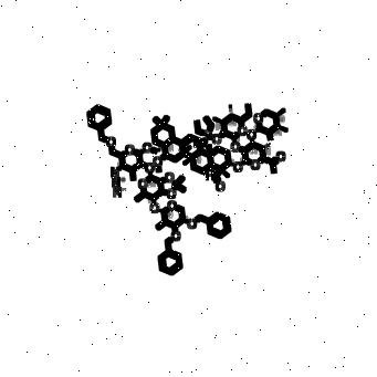 CCC1O[C@@H](OC2[C@H](O[C@H]3CCC4(C)C5CC=C6C7CC(C)(C)CC[C@]7(CO[C@@H]7OC(COCc8ccccc8)[C@H](N=[N+]=[N-])C(C)C7O[C@@H]7OC(C)[C@H](O[C@@H]8OC[C@@H](OCc9ccccc9)C(OCc9ccccc9)C8C)C8OC(C)(C)OC87)C(OC)C[C@@]6(C)[C@@]5(C)CC[C@H]4[C@@]3(C)C=O)OC(C(C)=O)[C@@H](C)[C@@H]2O[C@@H]2OC[C@@H](C)[C@@H](C)C2C)C(O[Si](CC)(CC)CC)[C@@H](C)[C@@H]1C